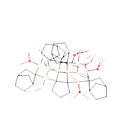 CCO[Si](OCC)(OCC)C1(S(SS)(SCC)C2(S(SS)(SCC)C3([Si](OCC)(OCC)OCC)CC4CCC3C4)CCCC2(S(SS)(SCC)C2([Si](OCC)(OCC)OCC)CC3CCC2C3)S(SS)(SCC)C2([Si](OCC)(OCC)OCC)CC3CCC2C3)CC2CCC1C2